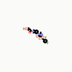 Cc1nc(OCc2ccc(F)cc2F)c(Cl)c(=O)n1-c1ccc2c(c1)CN(C(=O)CC(C)(C)O)C2